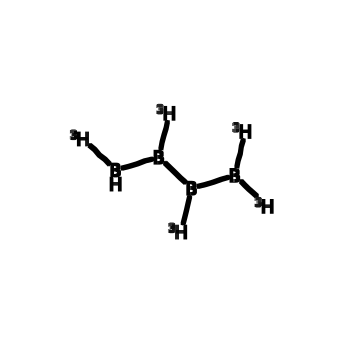 [3H]BB([3H])B([3H])B([3H])[3H]